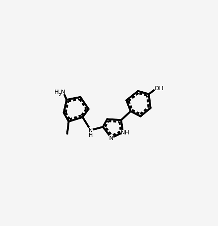 Cc1cc(N)ccc1Nc1cc(-c2ccc(O)cc2)[nH]n1